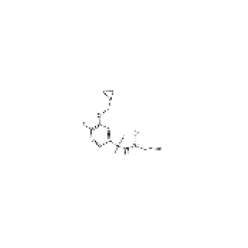 C=CC[S+]([O-])NC(C)(C)c1ccc(F)c(OCC2CC2)c1